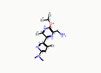 CCc1cc(N(C)C)ncc1-c1nc(CN)c(OC(CC)CC)nc1CC